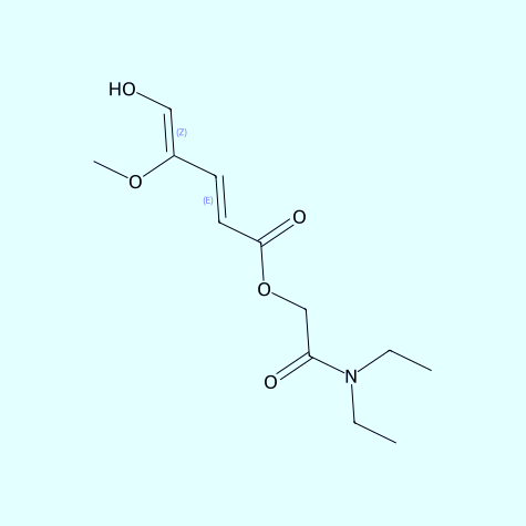 CCN(CC)C(=O)COC(=O)/C=C/C(=C/O)OC